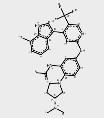 CC(=O)Nc1cc(Nc2ncc(C(F)(F)F)c(-c3c[nH]c4c(F)cccc34)n2)ccc1N1CC[C@@H](N(C)C)C1